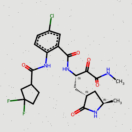 CNC(=O)C(=O)[C@H](C[C@@H]1C[C@@H](C)NC1=O)NC(=O)c1cc(Cl)ccc1NC(=O)C1CCC(F)(F)C1